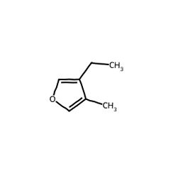 CCc1cocc1C